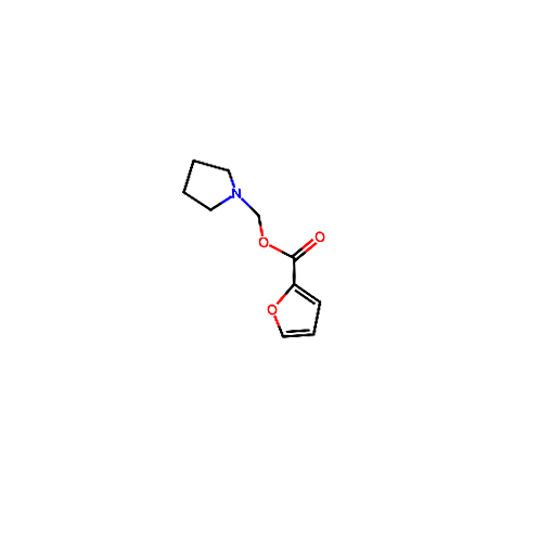 O=C(OCN1CCCC1)c1ccco1